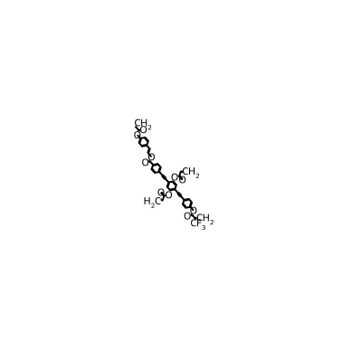 C=CC(=O)Oc1ccc(/C=C/OC(=O)c2ccc(C#Cc3cc(OC(=O)C=C)c(C#Cc4ccc(OC(=O)C(=C)C(F)(F)F)cc4)cc3OC(=O)C=C)cc2)cc1